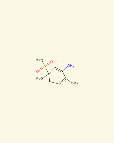 CNS(=O)(=O)C1(OC)C=C(N)C(OC)=CC1